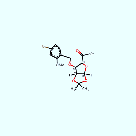 CCCC(=O)[C@H]1O[C@@H]2OC(C)(C)O[C@@H]2[C@H]1OCc1ccc(Br)cc1OC